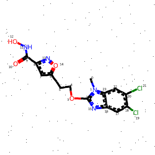 Cn1c(OCCc2cc(C(=O)NO)no2)nc2cc(Cl)c(Cl)cc21